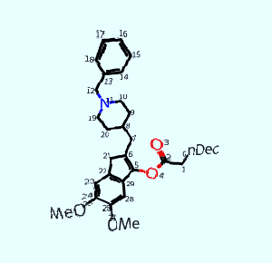 CCCCCCCCCCCC(=O)OC1=C(CC2CCN(Cc3ccccc3)CC2)Cc2cc(OC)c(OC)cc21